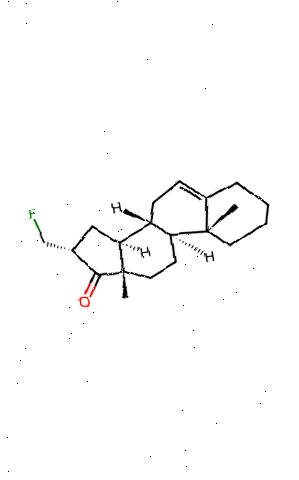 C[C@]12CCCCC1=CC[C@@H]1[C@@H]2CC[C@]2(C)C(=O)[C@H](CF)C[C@@H]12